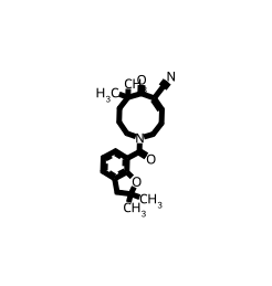 CC1(C)Cc2cccc(C(=O)N3CC/C=C(/C#N)C(=O)C(C)(C)CCC3)c2O1